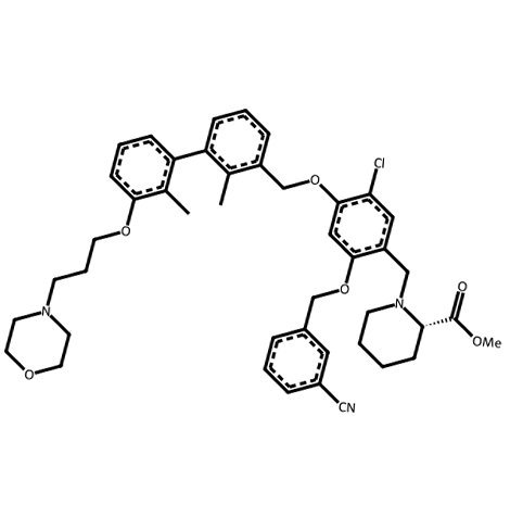 COC(=O)[C@@H]1CCCCN1Cc1cc(Cl)c(OCc2cccc(-c3cccc(OCCCN4CCOCC4)c3C)c2C)cc1OCc1cccc(C#N)c1